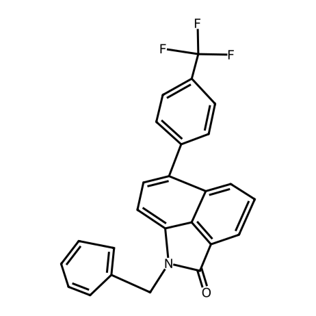 O=C1c2cccc3c(-c4ccc(C(F)(F)F)cc4)ccc(c23)N1Cc1ccccc1